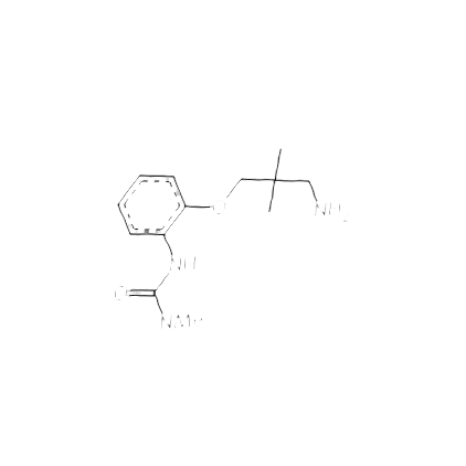 CNC(=O)Nc1ccccc1OCC(C)(C)CN